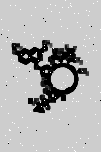 CC[C@@H]1C[C@H](C)CC/C=C\[C@@H]2C[C@@]2(C(=O)NS(=O)(=O)C2(C)CC2)NC(=O)[C@@H]2C[C@@H](Oc3nc(OC)cc4cc(OC)ccc34)CN2C(=O)[C@H]1N(C(=O)O)C(C)(C)C(F)(F)F